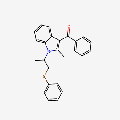 Cc1c(C(=O)c2ccccc2)c2ccccc2n1C(C)CSc1ccccc1